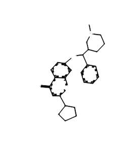 CN1CCCC(C(Oc2ccc3c(=O)cc(C4CCCC4)oc3c2)c2ccccc2)C1